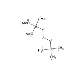 CO[Si](CCC[Si](C)(C)C)(OC)OC